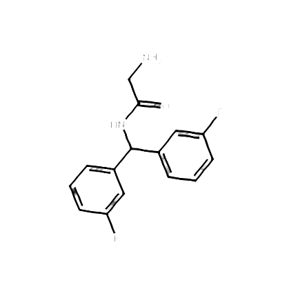 NCC(=O)NC(c1cccc(F)c1)c1cccc(F)c1